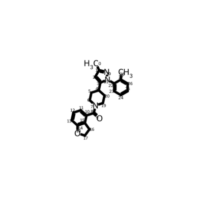 Cc1cc(C2CCN(C(=O)c3cccc4c3CCO4)CC2)n(-c2ccccc2C)n1